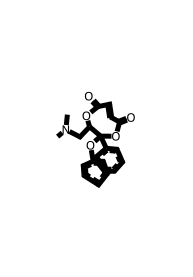 CN(C)CC1OC(=O)/C=C/C(=O)OC1(Oc1ccccc1)c1ccccc1